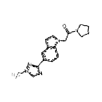 Cn1cnc(-c2ccc3c(ccn3CC(=O)N3CCCC3)c2)n1